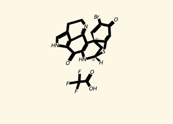 O=C(O)C(F)(F)F.O=C1C=C2S[C@H]3C[C@]2(C=C1Br)C1=C(N3)C(=O)c2[nH]cc3c2C1=NCC3